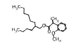 CCCCCCC(CCCC)COC(=O)C(C)c1ccccc1OC